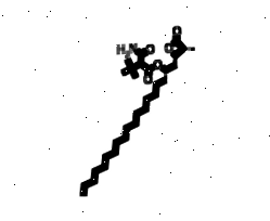 CCCCCCCCCCCCCCCCC[C@@H](C[C@H]1OC(=O)[C@@H]1C)OC(=O)C(C(N)=O)C(C)(C)C